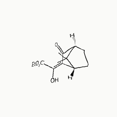 CCOC(=O)C(O)=C1C(=O)[C@H]2CC[C@H]1C2(C)C